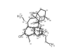 CCSc1nc2c3c(nc(Cl)c(F)c3n1)[C@H](CC)C[C@@H]1[C@@H]3CC[C@H](CN21)N3C(=O)OC(C)(C)C